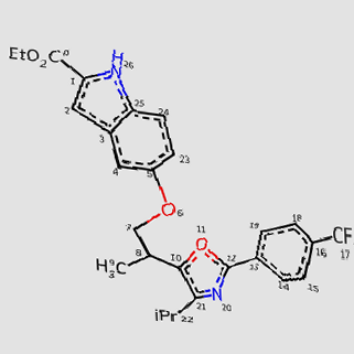 CCOC(=O)c1cc2cc(OCC(C)c3oc(-c4ccc(C(F)(F)F)cc4)nc3C(C)C)ccc2[nH]1